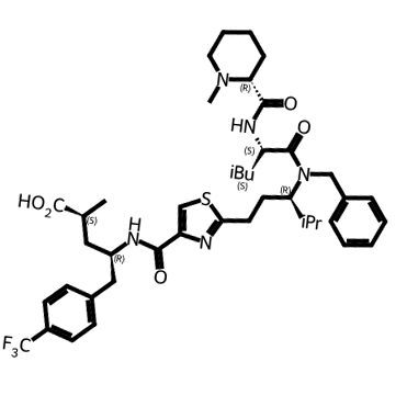 CC[C@H](C)[C@H](NC(=O)[C@H]1CCCCN1C)C(=O)N(Cc1ccccc1)[C@H](CCc1nc(C(=O)N[C@@H](Cc2ccc(C(F)(F)F)cc2)C[C@H](C)C(=O)O)cs1)C(C)C